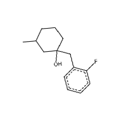 CC1CCCC(O)(Cc2ccccc2F)C1